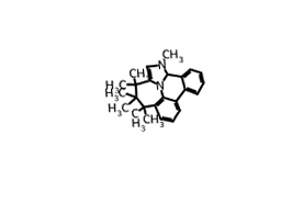 CN1C=C2N3c4c(cccc4C(C)(C)C(C)(C)C2(C)C)-c2ccccc2C13